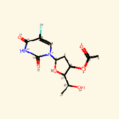 CC(=O)OC1CC(n2cc(F)c(=O)[nH]c2=O)OC1[C@H](C)O